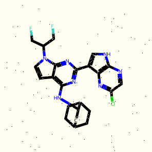 FCC(CF)n1ccc2c(NC3CC4CCC3CC4)nc(-c3c[nH]c4ncc(Cl)nc34)nc21